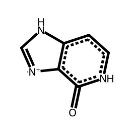 O=c1[nH]ccc2c1[N+]=CN2